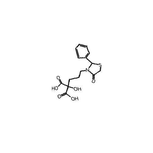 O=C1CSC(c2ccccc2)N1CCCC(O)(C(=O)O)C(=O)O